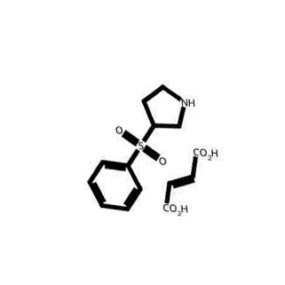 O=C(O)C=CC(=O)O.O=S(=O)(c1ccccc1)C1CCNC1